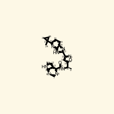 C[C@@H](NC(=O)c1ncnc2[nH]ncc12)c1cc(-c2nc3ccc(C4(C)CC4)nc3[nH]2)no1